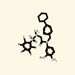 CC(=O)Oc1cc(N(Cc2ccc(C3CCCCC3)cc2)C(=O)CN(C)S(=O)(=O)c2c(F)c(F)c(F)c(F)c2F)ccc1C